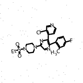 CCS(=O)(=O)N1CCN(c2cnc(-c3ccc(F)cc3C)c(-c3ccncc3Cl)n2)CC1